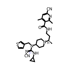 Cc1cc(C#N)nc(C)c1C(=O)NCC[C@@H](C)N1CCC(N(Cc2ccsc2)/C(=N/C#N)NC2CC2)CC1